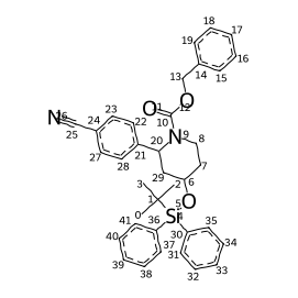 CC(C)(C)[Si](OC1CCN(C(=O)OCc2ccccc2)C(c2ccc(C#N)cc2)C1)(c1ccccc1)c1ccccc1